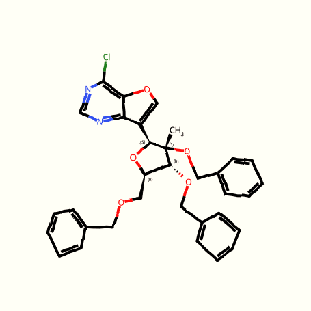 C[C@@]1(OCc2ccccc2)[C@H](OCc2ccccc2)[C@@H](COCc2ccccc2)O[C@H]1c1coc2c(Cl)ncnc12